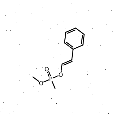 COP(C)(=O)OC=Cc1ccccc1